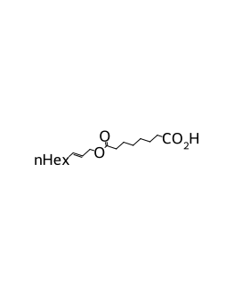 CCCCCCC=CCOC(=O)CCCCCCC(=O)O